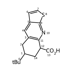 CC(C)(C)C1Cc2cc3ccsc3nc2C(C(=O)O)C1